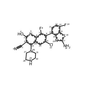 N#Cc1c(O)nc2c(F)c(-c3ccc(F)c4sc(N)nc34)c(Cl)cc2c1N1CCNCC1